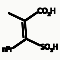 CCCC(=C(C)C(=O)O)S(=O)(=O)O